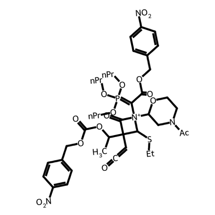 CCCOP(OCCC)(OCCC)=C(C(=O)OCc1ccc([N+](=O)[O-])cc1)[N+]1(C2CN(C(C)=O)CCO2)C(=O)C(C=C=O)(C(C)OC(=O)OCc2ccc([N+](=O)[O-])cc2)C1SCC